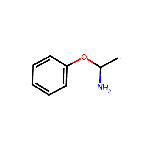 [CH2]C(N)Oc1ccccc1